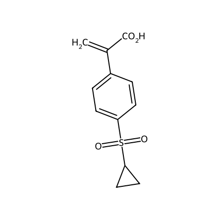 C=C(C(=O)O)c1ccc(S(=O)(=O)C2CC2)cc1